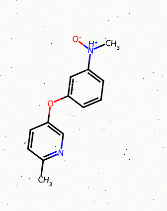 Cc1ccc(Oc2cccc([NH+](C)[O-])c2)cn1